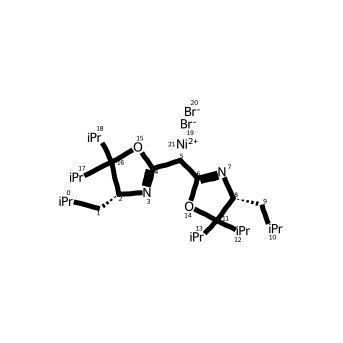 CC(C)C[C@H]1N=C(CC2=N[C@H](CC(C)C)C(C(C)C)(C(C)C)O2)OC1(C(C)C)C(C)C.[Br-].[Br-].[Ni+2]